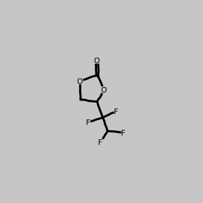 O=C1OCC(C(F)(F)C(F)F)O1